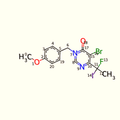 COc1ccc(Cn2cnc(C(C)(F)I)c(Br)c2=O)cc1